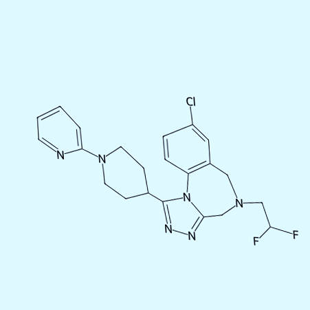 FC(F)CN1Cc2cc(Cl)ccc2-n2c(nnc2C2CCN(c3ccccn3)CC2)C1